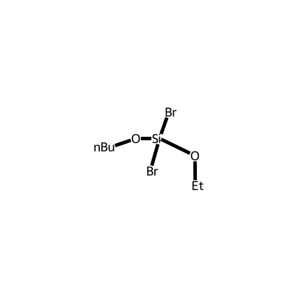 CCCCO[Si](Br)(Br)OCC